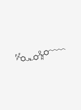 CCCCCCCCc1ccc(NC(=O)c2ccc(C[N]Cc3ccc(C(F)(F)F)cc3)cc2)cc1